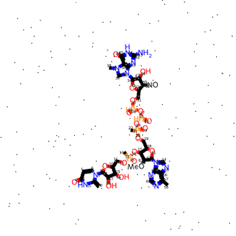 C=C1NC(=O)C=CN1C1OC(COP(C)(=O)OC2C(COP(C)(=O)O[PH](=O)O[PH](=O)OCC3OC(N4CN(C)c5c4nc(N)[nH]c5=O)C(O)C3N=O)OC(n3cnc4c(C)ncnc43)C2OC)C(O)C1O